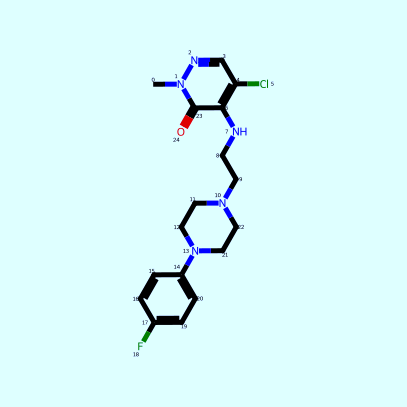 Cn1ncc(Cl)c(NCCN2CCN(c3ccc(F)cc3)CC2)c1=O